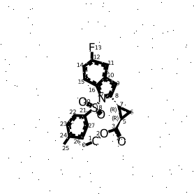 CCOC(=O)[C@@H]1C[C@H]1c1cc2cc(F)ccc2n1S(=O)(=O)c1ccc(C)cc1